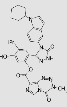 CC(C)c1cc(-c2n[nH]c(=O)n2-c2ccc3c(ccn3C3CCCCC3)c2)c(OC(=O)c2ncn3c(=O)n(C)nnc23)cc1O